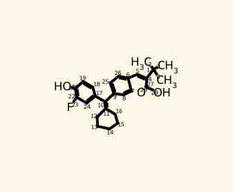 CC(C)(C)C(=Cc1ccc(C(=C2CCCCC2)c2ccc(O)c(F)c2)cc1)C(=O)O